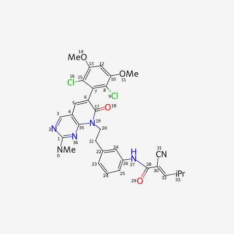 CNc1ncc2cc(-c3c(Cl)c(OC)cc(OC)c3Cl)c(=O)n(CCc3cccc(NC(=O)/C(C#N)=C/C(C)C)c3)c2n1